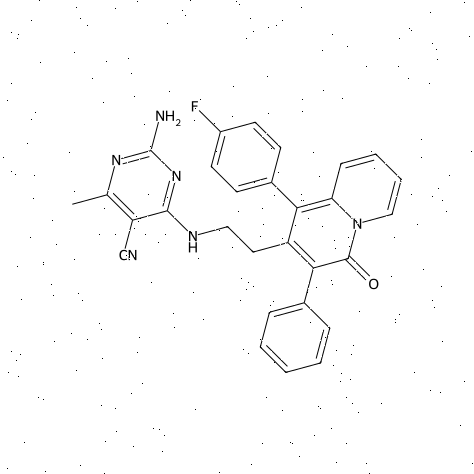 Cc1nc(N)nc(NCCc2c(-c3ccccc3)c(=O)n3ccccc3c2-c2ccc(F)cc2)c1C#N